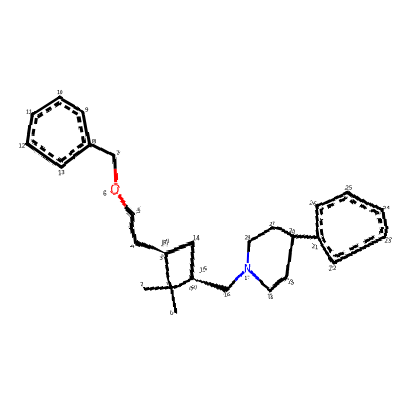 CC1(C)[C@@H](CCOCc2ccccc2)C[C@H]1CN1CCC(c2ccccc2)CC1